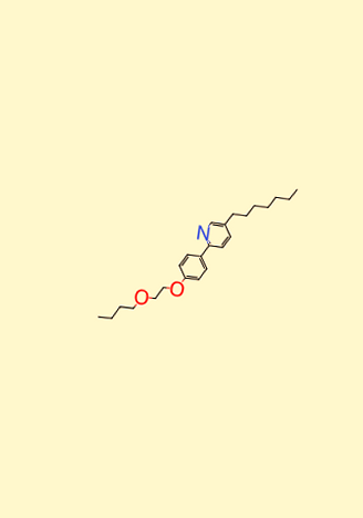 CCCCCCCc1ccc(-c2ccc(OCCOCCCC)cc2)nc1